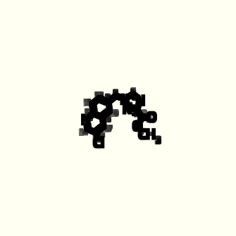 COC(=O)c1ncn(Cc2ccc3ncc(Cl)cc3c2)n1